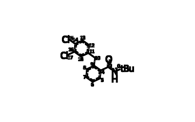 CC(C)(C)NC(=O)c1ccccc1Cc1ccc(Cl)c(Cl)c1